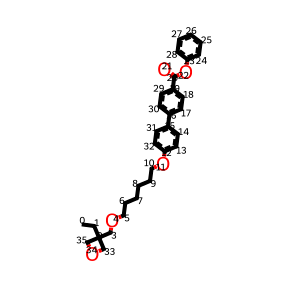 CCC1(COCCCCCCOc2ccc(-c3ccc(C(=O)Oc4ccccc4)cc3)cc2)COC1